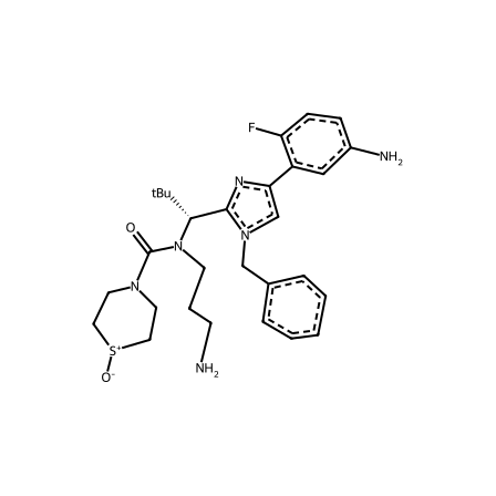 CC(C)(C)[C@H](c1nc(-c2cc(N)ccc2F)cn1Cc1ccccc1)N(CCCN)C(=O)N1CC[S+]([O-])CC1